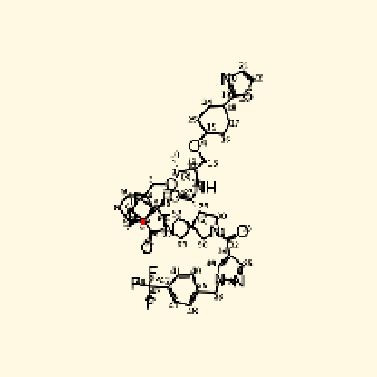 C[C@@H](OCC12CCC(CC1)OC2)[C@@H](COC1CCC(c2nccs2)CC1)NC(=O)[C@@H]1CN(C(=O)c2cnn(Cc3ccc(C(F)(F)F)cc3)c2)CC12CN(C(=O)C1(C(F)(F)F)CC1)C2